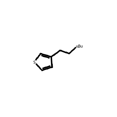 CCCCCCc1[c]s[c]c1